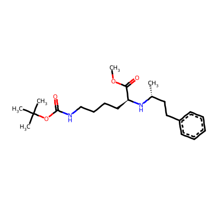 COC(=O)[C@H](CCCCNC(=O)OC(C)(C)C)N[C@H](C)CCc1ccccc1